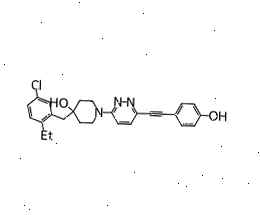 CCc1ccc(Cl)cc1CC1(O)CCN(c2ccc(C#Cc3ccc(O)cc3)nn2)CC1